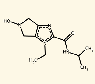 CCn1c(C(=O)NC(C)C)nc2c1CN(O)C2